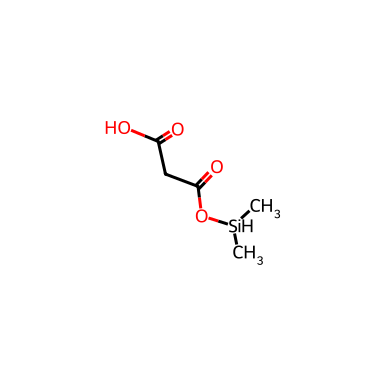 C[SiH](C)OC(=O)CC(=O)O